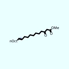 CCCCCCCC/C=C/CCCCCCCC(=O)CC(=O)OC